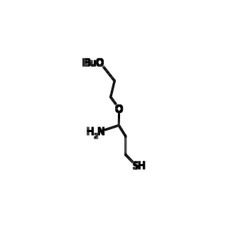 CC(C)COCCOC(N)CCS